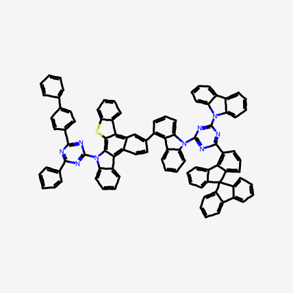 c1ccc(-c2ccc(-c3nc(-c4ccccc4)nc(-n4c5ccccc5c5c6ccc(-c7cccc8c7c7ccccc7n8-c7nc(-c8cccc9c8-c8ccccc8C98c9ccccc9-c9ccccc98)nc(-n8c9ccccc9c9ccccc98)n7)cc6c6c7ccccc7sc6c54)n3)cc2)cc1